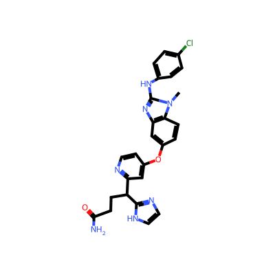 Cn1c(Nc2ccc(Cl)cc2)nc2cc(Oc3ccnc(C(CCC(N)=O)c4ncc[nH]4)c3)ccc21